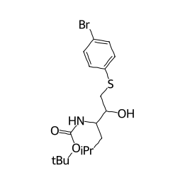 CC(C)CC(NC(=O)OC(C)(C)C)C(O)CSc1ccc(Br)cc1